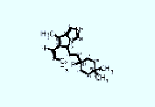 C/C=C(/F)C1=C(C)c2cncn2C1CCC1(F)CCC(C)(C)CC1